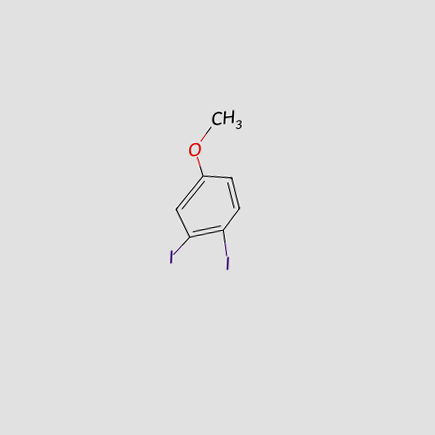 COc1ccc(I)c(I)c1